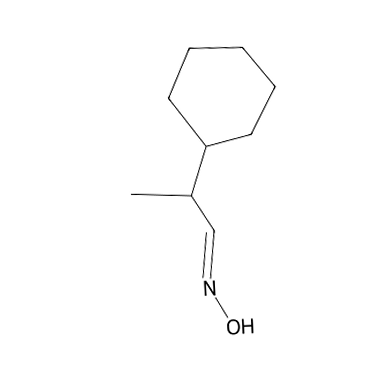 CC(C=NO)C1CCCCC1